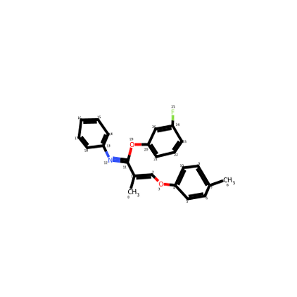 CC(=C\Oc1ccc(C)cc1)/C(=N/c1ccccc1)Oc1cccc(F)c1